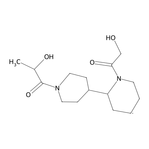 CC(O)C(=O)N1CCC(C2C[CH]CCN2C(=O)CO)CC1